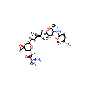 CC(=O)O[C@@H](C)/C=C\C(=O)N[C@@H]1C[C@H](C)[C@H](C/C=C(C)/C=C/[C@@H]2C[C@]3(CO3)C[C@@H](CC(=O)N(C)N)O2)O[C@@H]1C